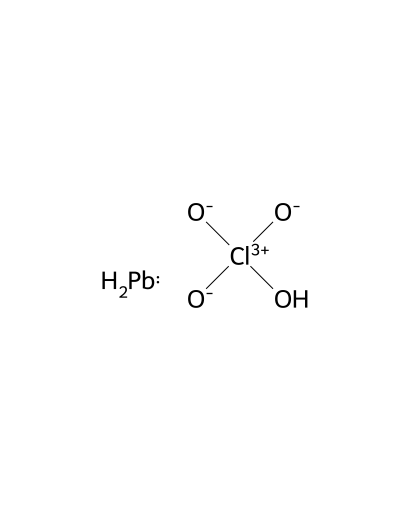 [O-][Cl+3]([O-])([O-])O.[PbH2]